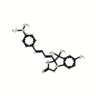 Cc1ccc2c(c1)C(C)(C)C1(C=CC=Cc3ccc(N(C)C)cc3)NC(=O)CN21